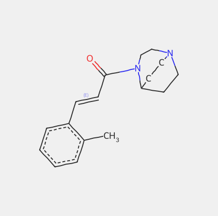 Cc1ccccc1/C=C/C(=O)N1CCN2CCC1CC2